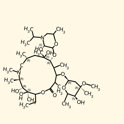 CCC1OC(=O)C(C)C(O[C@H]2C[C@@](C)(OC)[C@@H](O)C(C)O2)C(C)[C@@H](OC2OC(C)CN(C(C)C)[C@H]2O)[C@@](C)(O)C[C@@H](C)CN(C)[C@H](C)[C@@H](O)[C@]1(C)O